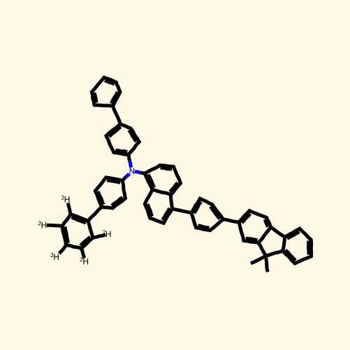 [2H]c1c([2H])c([2H])c(-c2ccc(N(c3ccc(-c4ccccc4)cc3)c3cccc4c(-c5ccc(-c6ccc7c(c6)C(C)(C)c6ccccc6-7)cc5)cccc34)cc2)c([2H])c1[2H]